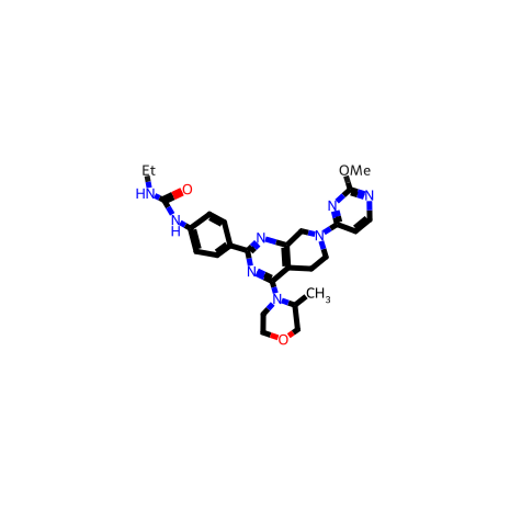 CCNC(=O)Nc1ccc(-c2nc3c(c(N4CCOCC4C)n2)CCN(c2ccnc(OC)n2)C3)cc1